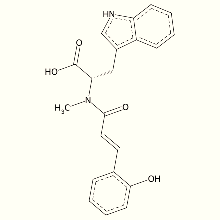 CN(C(=O)C=Cc1ccccc1O)[C@@H](Cc1c[nH]c2ccccc12)C(=O)O